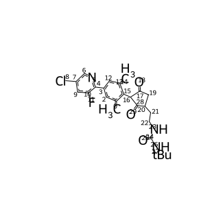 Cc1cc(-c2ncc(Cl)cc2F)cc(C)c1C1C(=O)CC(CCNC(=O)NC(C)(C)C)C1=O